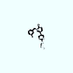 Cc1cccc(Cn2nc(-c3cnc(OCC(F)(F)F)nc3)ccc2=O)c1